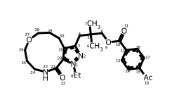 CCn1nc(CC(C)(C)COC(=O)c2ccc(C(C)=O)cc2)c2c1C(=O)NCCCOCCC2